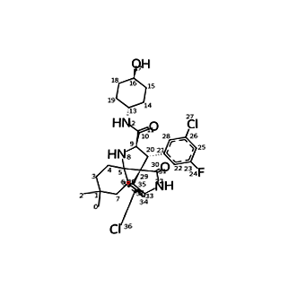 CC1(C)CCC2(CC1)N[C@@H](C(=O)N[C@H]1CC[C@H](O)CC1)[C@H](c1cc(F)cc(Cl)c1)[C@]21C(=O)Nc2cc(Cl)ccc21